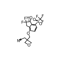 N#CCC1(COc2ccc(S(=O)(=O)C(F)(F)F)c3c2CC(F)(F)[C@H]3O)COC1